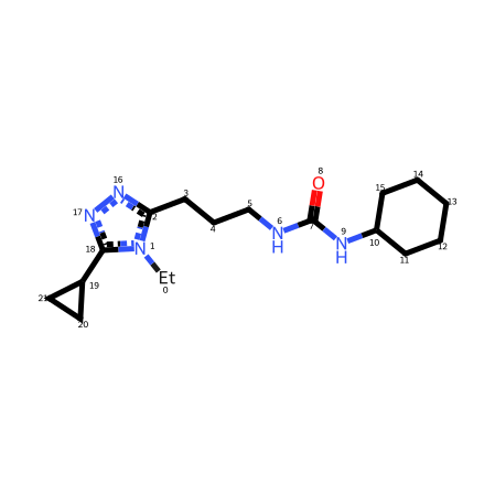 CCn1c(CCCNC(=O)NC2CCCCC2)nnc1C1CC1